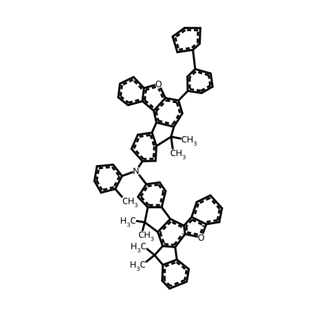 Cc1ccccc1N(c1ccc2c(c1)C(C)(C)c1cc(-c3cccc(-c4ccccc4)c3)c3oc4ccccc4c3c1-2)c1ccc2c(c1)C(C)(C)c1c3c(c4oc5ccccc5c4c1-2)-c1ccccc1C3(C)C